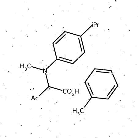 CC(=O)C(C(=O)O)N(C)c1ccc(C(C)C)cc1.Cc1ccccc1